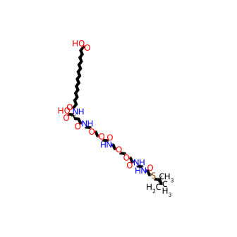 C=C(C)[C@@H](C)CSCC(=O)NCCNC(=O)COCCOCCNC(=O)COCCOCCNC(=O)CC[C@H](NC(=O)CCCCCCCCCCCCCCCCC(=O)O)C(=O)O